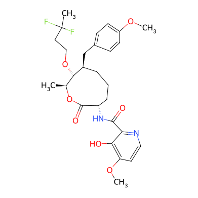 COc1ccc(C[C@H]2CCC[C@H](NC(=O)c3nccc(OC)c3O)C(=O)O[C@@H](C)[C@@H]2OCCC(C)(F)F)cc1